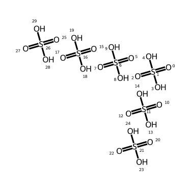 O=S(=O)(O)O.O=S(=O)(O)O.O=S(=O)(O)O.O=S(=O)(O)O.O=S(=O)(O)O.O=S(=O)(O)O